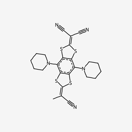 CC(C#N)=C1Sc2c(c(N3CCCCC3)c3c(c2N2CCCCC2)SC(=C(C#N)C#N)S3)S1